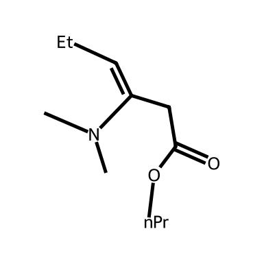 CCC=C(CC(=O)OCCC)N(C)C